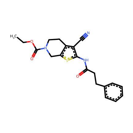 CCOC(=O)N1CCc2c(sc(NC(=O)CCc3ccccc3)c2C#N)C1